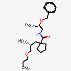 CCOC(=O)[C@H](CNC(=O)C1(C[C@H](COCCOC)C(=O)O)CCCC1)OCc1ccccc1